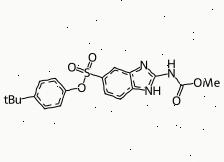 COC(=O)Nc1nc2cc(S(=O)(=O)Oc3ccc(C(C)(C)C)cc3)ccc2[nH]1